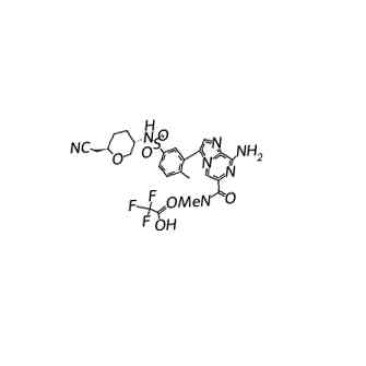 CNC(=O)c1cn2c(-c3cc(S(=O)(=O)N[C@H]4CC[C@H](CC#N)OC4)ccc3C)cnc2c(N)n1.O=C(O)C(F)(F)F